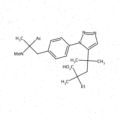 CCC(C)(CC(C)(C)c1cnnn1-c1ccc(CC(C)(NC)C(C)=O)cc1)C(=O)O